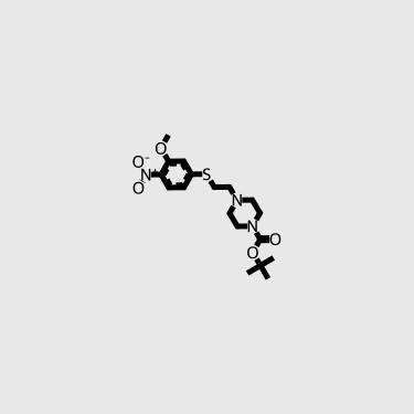 COc1cc(SCCN2CCN(C(=O)OC(C)(C)C)CC2)ccc1[N+](=O)[O-]